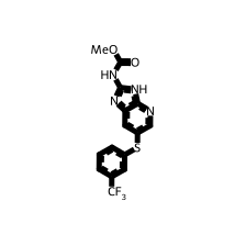 COC(=O)Nc1nc2cc(Sc3cccc(C(F)(F)F)c3)cnc2[nH]1